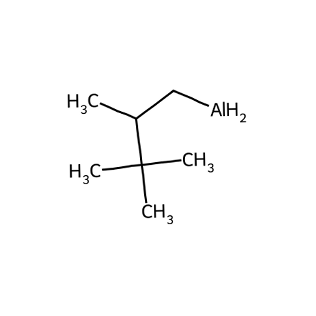 CC([CH2][AlH2])C(C)(C)C